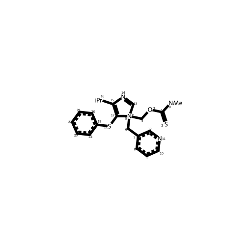 CNC(=S)OC[N+]1(Cc2cccnc2)C=NC(C(C)C)=C1Sc1ccccc1